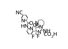 N#Cc1ccc(C(=O)Nc2ccc(F)c([C@]3(CF)CS4(=O)=NCCCCN4C(NC(=O)O)=N3)n2)nc1